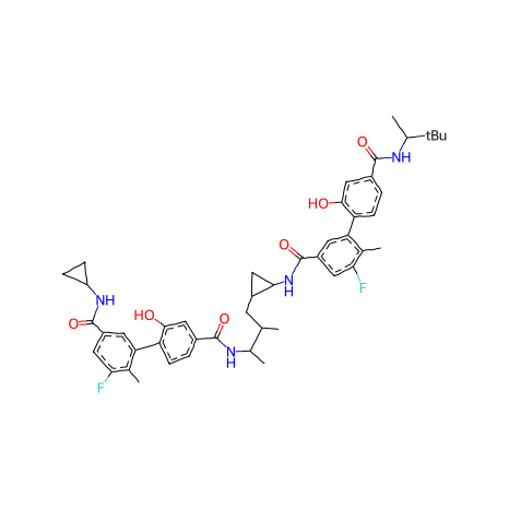 Cc1c(F)cc(C(=O)NC2CC2)cc1-c1ccc(C(=O)NC(C)C(C)CC2CC2NC(=O)c2cc(F)c(C)c(-c3ccc(C(=O)NC(C)C(C)(C)C)cc3O)c2)cc1O